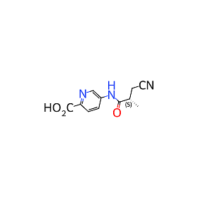 C[C@@H](CC#N)C(=O)Nc1ccc(C(=O)O)nc1